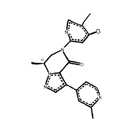 Cc1cc(-c2cnn3c2C(=O)N(c2cc(Cl)c(C)cn2)C[C@@H]3C)ccn1